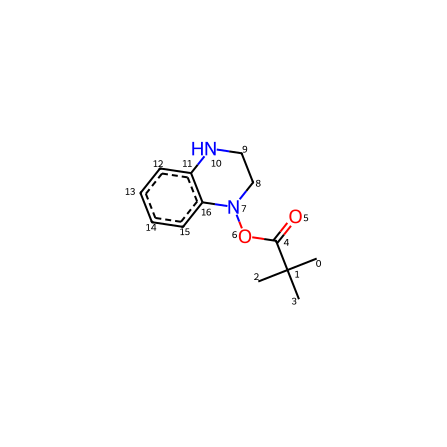 CC(C)(C)C(=O)ON1CCNc2ccccc21